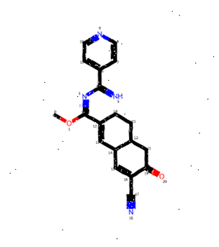 CO/C(=N/C(=N)c1ccncc1)C1=CC2C=C(C#N)C(=O)CC2CC1